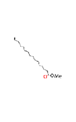 C=CCCCCCCCCCCCCCC(=O)OC